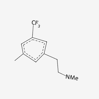 CNCCc1cc(C)cc(C(F)(F)F)c1